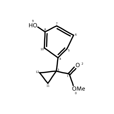 COC(=O)C1(c2cccc(O)c2)CC1